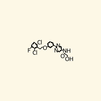 O=C(CO)Nc1cnc(-c2cccc(OCCc3c(Cl)ccc(F)c3Cl)c2)nc1